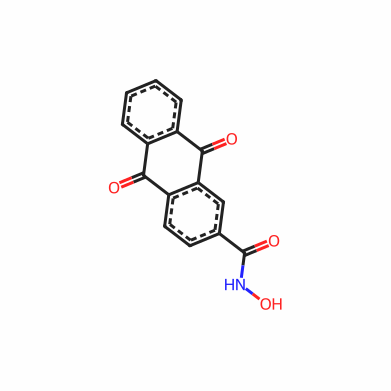 O=C(NO)c1ccc2c(c1)C(=O)c1ccccc1C2=O